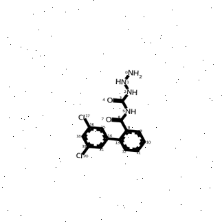 NNNC(=O)NC(=O)c1ccccc1-c1cc(Cl)cc(Cl)c1